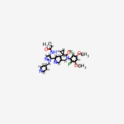 C=CC(=O)Nc1cnn(Cc2ccncc2)c1-c1cc2c(cn1)CN(c1c(F)c(OC)cc(OC)c1F)C(=O)C21CC1